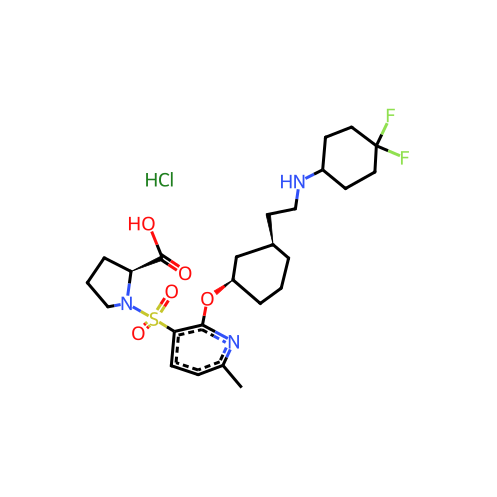 Cc1ccc(S(=O)(=O)N2CCC[C@H]2C(=O)O)c(O[C@@H]2CCC[C@H](CCNC3CCC(F)(F)CC3)C2)n1.Cl